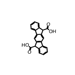 O=C(O)C1c2ccccc2-c2cc3c(cc21)-c1ccccc1C3C(=O)O